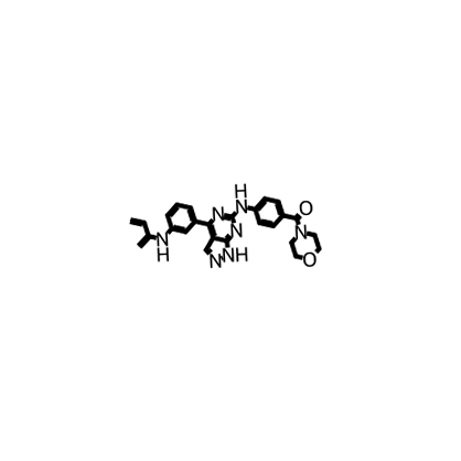 C=CC(=C)Nc1cccc(-c2nc(Nc3ccc(C(=O)N4CCOCC4)cc3)nc3[nH]ncc23)c1